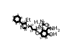 CCc1c(-c2ccccc2)ncn1CCCOc1ccc(O)c(CN)c1NC(N)=O